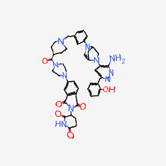 Nc1nnc(-c2ccccc2O)cc1N1CC2CC1=CN2c1cccc(CN2CCC(C(=O)N3CCN(c4ccc5c(c4)C(=O)N(C4CCC(=O)NC4=O)C5=O)CC3)CC2)c1